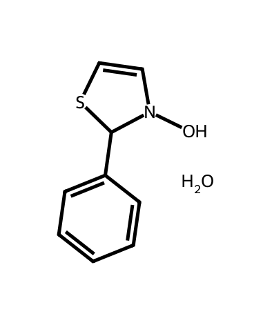 O.ON1C=CSC1c1ccccc1